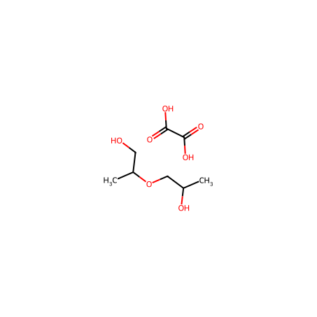 CC(O)COC(C)CO.O=C(O)C(=O)O